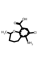 CC1CCCc2c(N)c(Cl)cc(C(=O)O)c2O1